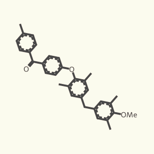 COc1c(C)cc(Cc2cc(C)c(Oc3ccc(C(=O)c4ccc(C)cc4)cc3)c(C)c2)cc1C